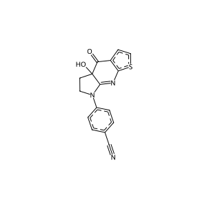 N#Cc1ccc(N2CCC3(O)C(=O)c4ccsc4N=C23)cc1